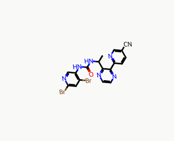 CC(NC(=O)Nc1cnc(Br)cc1Br)c1nccnc1-c1ccc(C#N)cn1